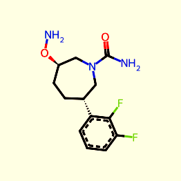 NO[C@@H]1CC[C@@H](c2cccc(F)c2F)CN(C(N)=O)C1